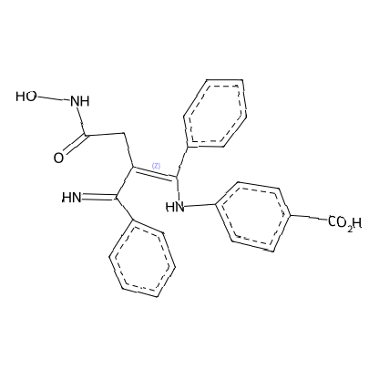 N=C(/C(CC(=O)NO)=C(\Nc1ccc(C(=O)O)cc1)c1ccccc1)c1ccccc1